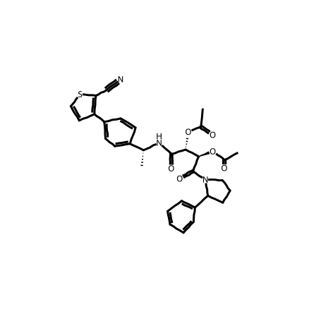 CC(=O)O[C@@H](C(=O)N[C@H](C)c1ccc(-c2ccsc2C#N)cc1)[C@@H](OC(C)=O)C(=O)N1CCCC1c1ccccc1